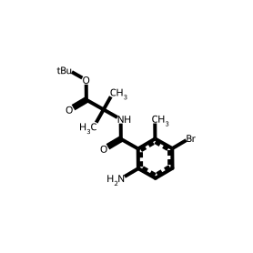 Cc1c(Br)ccc(N)c1C(=O)NC(C)(C)C(=O)OC(C)(C)C